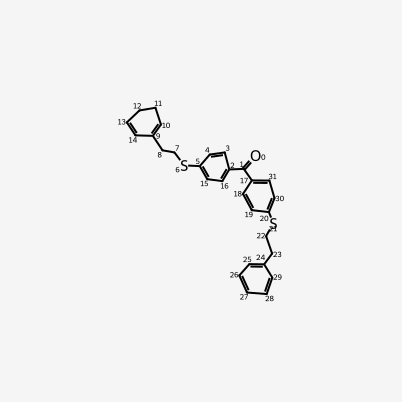 O=C(c1ccc(SCCC2=CCCC=C2)cc1)c1ccc(SCCc2ccccc2)cc1